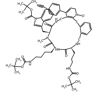 CN1C(=O)[C@H](CCCCNC(=O)OC(C)(C)C)NC(=O)[C@H](CCCNC(=O)OC(C)(C)C)NCc2ccccc2SC2=C(CNC(=O)[C@@H]1Cc1cn(C(=O)OC(C)(C)C)c3ccccc13)C(c1ccc(C#N)cc1)=CCN2Cl